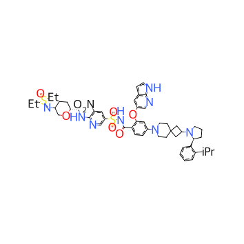 CCS(=O)(CC)=NC1CC[C@H](CNc2ncc(S(=O)(=O)NC(=O)c3ccc(N4CCC5(CC4)CC(N4CCC[C@H]4c4ccccc4C(C)C)C5)cc3Oc3cnc4[nH]ccc4c3)cc2[N+](=O)[O-])OC1